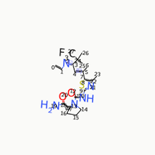 C=C/N=C(\C=C(/C)c1sc(NC(=O)N2CCC[C@H]2C(N)=O)nc1C)C(C)(C)C(F)(F)F